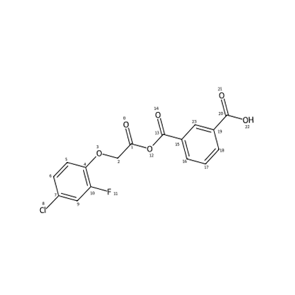 O=C(COc1ccc(Cl)cc1F)OC(=O)c1cccc(C(=O)O)c1